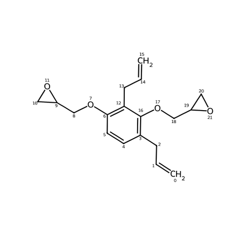 C=CCc1ccc(OCC2CO2)c(CC=C)c1OCC1CO1